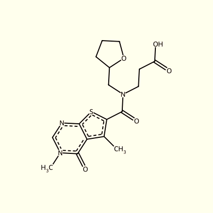 Cc1c(C(=O)N(CCC(=O)O)CC2CCCO2)sc2ncn(C)c(=O)c12